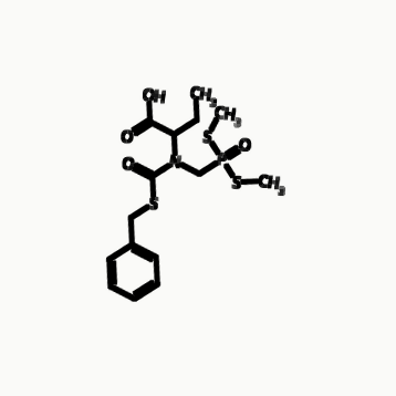 CCC(C(=O)O)N(CP(=O)(SC)SC)C(=O)SCc1ccccc1